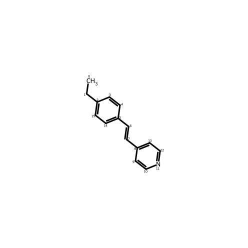 CCc1ccc(/C=C/c2ccncc2)cc1